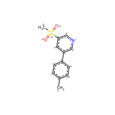 Cc1ccc(-c2cncc(S(C)(=O)=O)c2)cc1